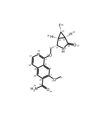 COc1cc2c(OC[C@H]3NC(=O)[C@@H]4[C@@H](F)[C@@H]43)nccc2cc1C(N)=O